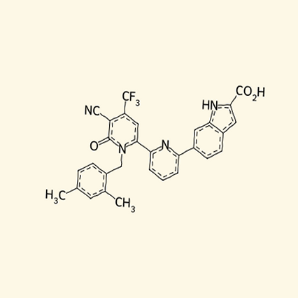 Cc1ccc(Cn2c(-c3cccc(-c4ccc5cc(C(=O)O)[nH]c5c4)n3)cc(C(F)(F)F)c(C#N)c2=O)c(C)c1